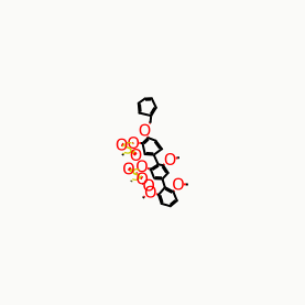 COc1cccc(OC)c1-c1cc(OC)c(-c2ccc(OCc3ccccc3)c(OS(C)(=O)=O)c2)c(OS(C)(=O)=O)c1OC